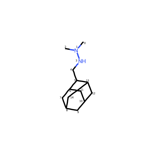 CN(C)NCC1C2CC3CC(C2)CC1C3